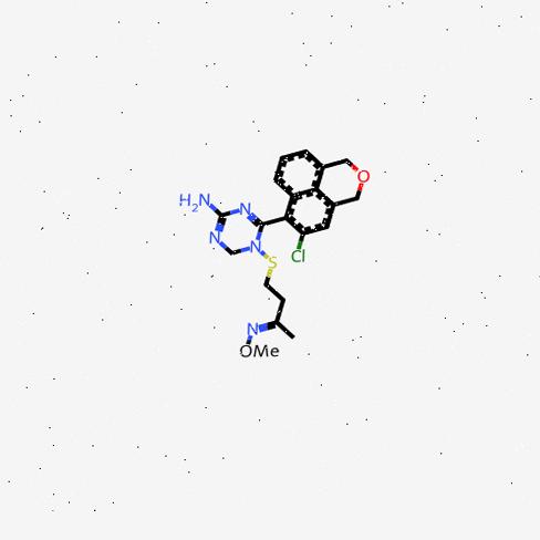 CON=C(C)CCSN1CN=C(N)N=C1c1c(Cl)cc2c3c(cccc13)COC2